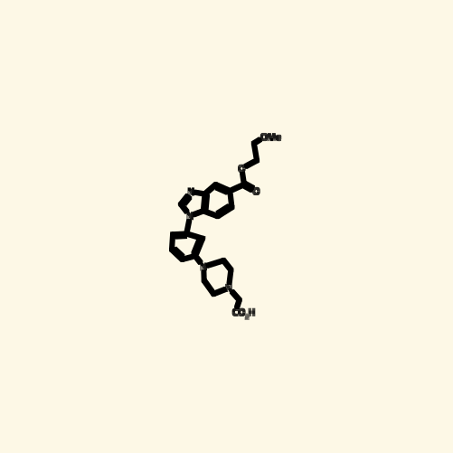 COCCOC(=O)c1ccc2c(c1)ncn2-c1cccc(N2CCN(CC(=O)O)CC2)c1